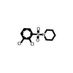 O=S(=O)(c1cccc(Cl)c1Cl)N1[CH]CCCC1